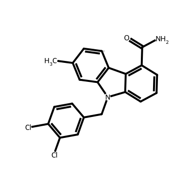 Cc1c[c]c2c3c(C(N)=O)cccc3n(Cc3ccc(Cl)c(Cl)c3)c2c1